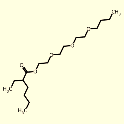 CCCCOCCOCCOCCOC(=O)C(CC)CCCC